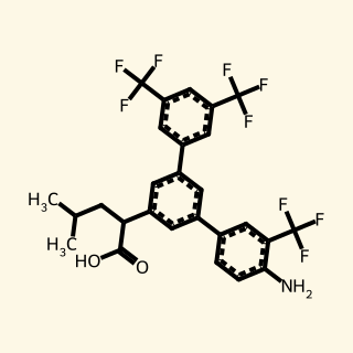 CC(C)CC(C(=O)O)c1cc(-c2cc(C(F)(F)F)cc(C(F)(F)F)c2)cc(-c2ccc(N)c(C(F)(F)F)c2)c1